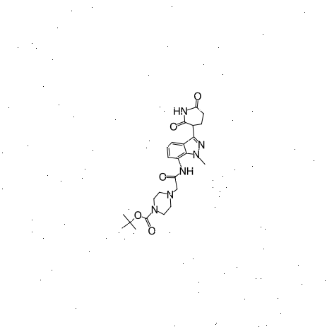 Cn1nc(C2CCC(=O)NC2=O)c2cccc(NC(=O)CN3CCN(C(=O)OC(C)(C)C)CC3)c21